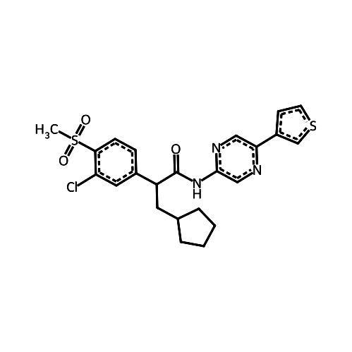 CS(=O)(=O)c1ccc(C(CC2CCCC2)C(=O)Nc2cnc(-c3ccsc3)cn2)cc1Cl